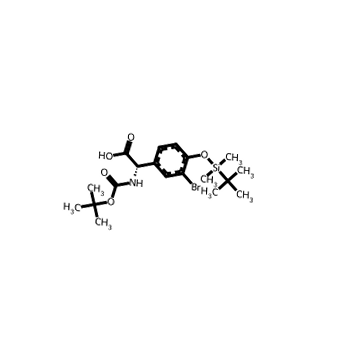 CC(C)(C)OC(=O)N[C@H](C(=O)O)c1ccc(O[Si](C)(C)C(C)(C)C)c(Br)c1